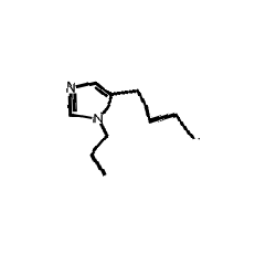 [CH2]CCCc1cncn1CCC